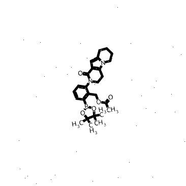 CC(=O)OCc1c(B2OC(C)(C)C(C)(C)O2)cccc1N1CCc2c(cc3n2CCCC3)C1=O